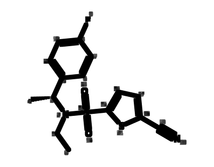 CCN([C@H](C)c1ccc(F)cc1)S(=O)(=O)c1ccc(C#N)s1